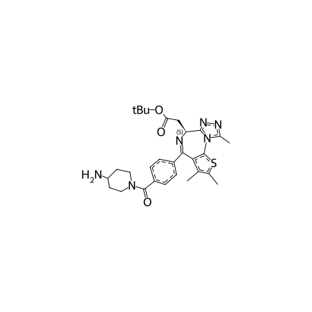 Cc1sc2c(c1C)C(c1ccc(C(=O)N3CCC(N)CC3)cc1)=N[C@@H](CC(=O)OC(C)(C)C)c1nnc(C)n1-2